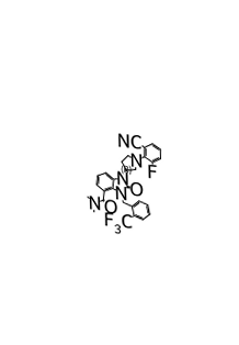 CN(C)C(=O)c1cccc2c1n(Cc1ccccc1C(F)(F)F)c(=O)n2[C@@H]1CCN(c2c(F)cccc2C#N)C1